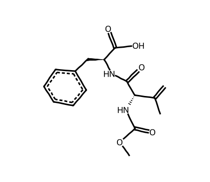 C=C(C)[C@H](NC(=O)OC)C(=O)N[C@@H](Cc1ccccc1)C(=O)O